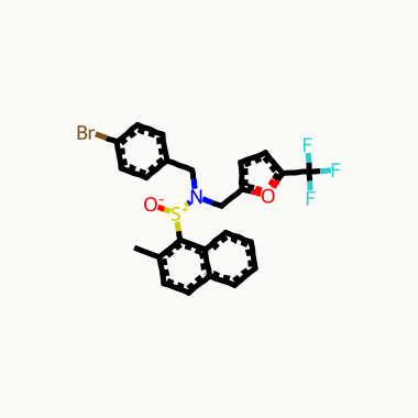 Cc1ccc2ccccc2c1[S+]([O-])N(Cc1ccc(Br)cc1)Cc1ccc(C(F)(F)F)o1